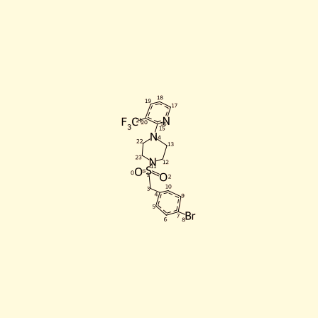 O=S(=O)(Cc1ccc(Br)cc1)N1CCN(c2ncccc2C(F)(F)F)CC1